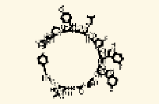 COc1ccc(C[C@@H]2NC(=O)[C@H]([C@@H](C)OCC(C)C)NC(=O)[C@@H]3C[C@H](F)CN3C(=O)[C@H](Cc3c[nH]c4ccc(F)cc34)NC(=O)[C@H](Cc3c[nH]c4ccc(F)cc34)NC(=O)[C@@H](C)NC(=O)CNC(=O)[C@@H](NC(C)=O)CCNCc3ccc(cc3)C[C@@H](C(N)=O)NC(=O)[C@]3(C)CCCN3C2=O)cc1